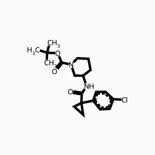 CC(C)(C)OC(=O)N1CCCC(NC(=O)C2(c3ccc(Cl)cc3)CC2)C1